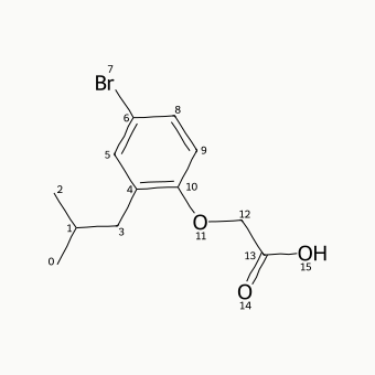 CC(C)Cc1cc(Br)ccc1OCC(=O)O